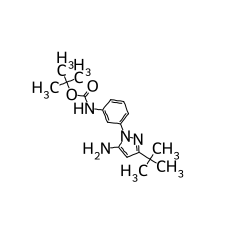 CC(C)(C)OC(=O)Nc1cccc(-n2nc(C(C)(C)C)cc2N)c1